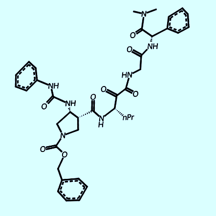 CCC[C@H](NC(=O)[C@@H]1CN(C(=O)OCc2ccccc2)C[C@@H]1NC(=O)Nc1ccccc1)C(=O)C(=O)NCC(=O)N[C@H](C(=O)N(C)C)c1ccccc1